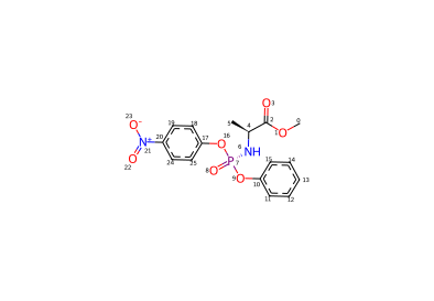 COC(=O)[C@H](C)N[P@@](=O)(Oc1ccccc1)Oc1ccc([N+](=O)[O-])cc1